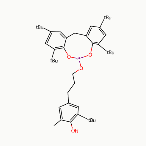 Cc1cc(CCCOP2Oc3c(cc(C(C)(C)C)cc3C(C)(C)C)Cc3cc(C(C)(C)C)cc(C(C)(C)C)c3O2)cc(C(C)(C)C)c1O